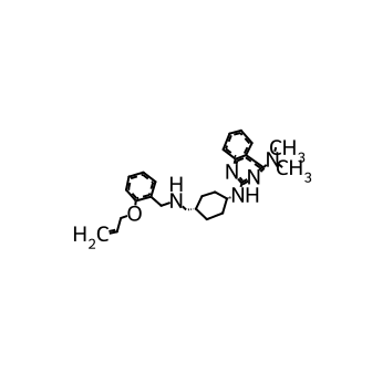 C=CCOc1ccccc1CNC[C@H]1CC[C@@H](Nc2nc(N(C)C)c3ccccc3n2)CC1